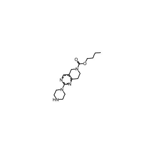 CCCCOC(=O)N1CCc2nc(N3CCNCC3)ncc2C1